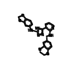 c1cnc(NCc2ccc3c(c2)OCCO3)c(-c2nnc(Nc3ccc4c(c3)OCO4)[nH]2)c1